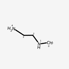 [CH]NCCN